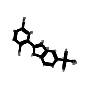 O=S(=O)(c1ccc2oc(-c3nc(F)ccc3F)nc2c1)C(F)(F)F